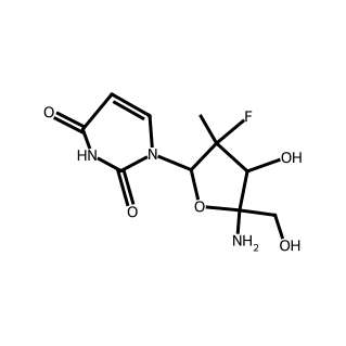 CC1(F)C(n2ccc(=O)[nH]c2=O)OC(N)(CO)C1O